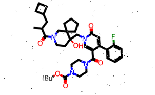 CC(CC1CCC1)C(=O)N1CC[C@@](O)(Cn2cc(C(=O)N3CCN(C(=O)OC(C)(C)C)CC3)c(-c3ccccc3F)cc2=O)C2(CCCC2)C1